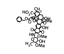 CO[C@@H]1[C@@H](O)[C@@H](OC)[C@@H](NC2=CC(=O)c3c(cc4c(c3O)C(=O)C3(OC)C(O)Cc5cc(C)c(C(=O)O)c(OCC(=O)OCc6ccccc6)c5C3(O)C4=O)C2=O)O[C@H]1C